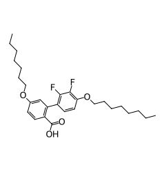 CCCCCCCCOc1ccc(-c2cc(OCCCCCCC)ccc2C(=O)O)c(F)c1F